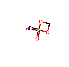 O=S1(=P)OCO1